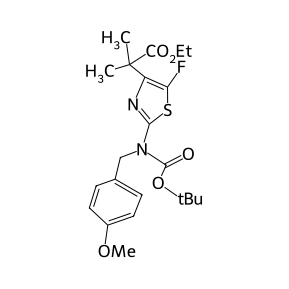 CCOC(=O)C(C)(C)c1nc(N(Cc2ccc(OC)cc2)C(=O)OC(C)(C)C)sc1F